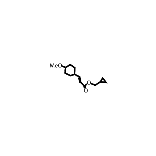 COC1CCC(C=CC(=O)OCC2CC2)CC1